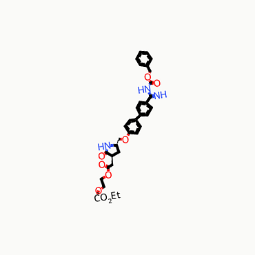 CCOC(=O)OCCOC(=O)C[C@@H]1C[C@@H](COc2ccc(-c3ccc(C(=N)NC(=O)OCc4ccccc4)cc3)cc2)NC1=O